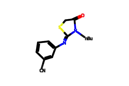 CCCCN1C(=O)CS/C1=N\c1cccc(C#N)c1